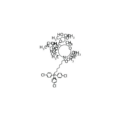 CC[C@H]1OC(=O)[C@H](C)[C@@H](C2C[C@@](C)(OC)[C@@H](O)[C@H](C)O2)[C@H](C)[C@@H](O[C@@H]2O[C@H](C)C[C@H](N(C)C)[C@H]2O)[C@](C)(O)C[C@@H](C)CN(C(=O)CCCCCCC[PH](c2ccc(Cl)cc2)(c2ccc(Cl)cc2)c2ccc(Cl)cc2)[C@H](C)[C@@H](O)[C@]1(C)O